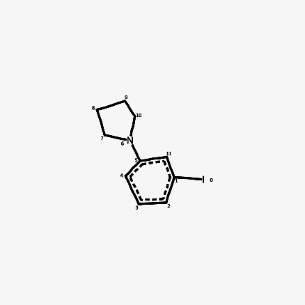 Ic1cccc(N2CCCC2)c1